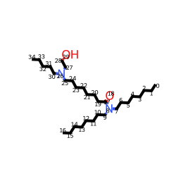 CCCCCCCCN(CCCCCCCC)C(=O)CCCCCCCN(CCO)CCCCC